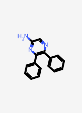 Nc1cnc(-c2ccccc2)c(-c2ccccc2)n1